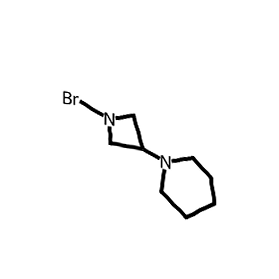 BrN1CC(N2CCCCC2)C1